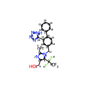 CCCc1nc(CO)c(C(F)(F)C(F)(F)F)n1Cc1ccc(-c2ccccc2)c(-c2nnn[nH]2)c1